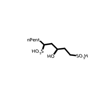 CCCCCC(CC(O)CCS(=O)(=O)O)S(=O)(=O)O